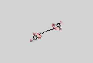 O=C(CCCCCCCCC(=O)Oc1c(Br)cc(Br)cc1Br)Oc1c(Br)cc(Br)cc1Br